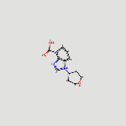 O=C(O)c1cccc2c1ncn2C1CCOCC1